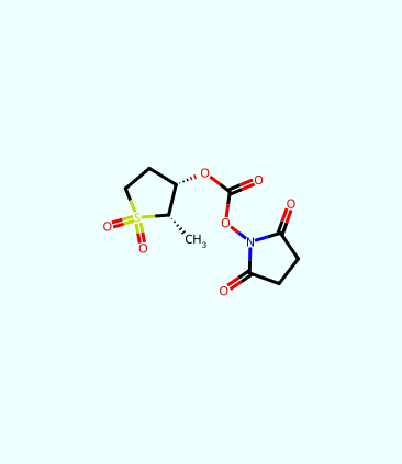 C[C@H]1[C@@H](OC(=O)ON2C(=O)CCC2=O)CCS1(=O)=O